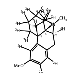 [2H]c1c([2H])c(OC)c([2H])c2c1C[C@]1([2H])N(C)C([2H])([2H])C([2H])([2H])[C@]23C([2H])([2H])C([2H])([2H])C([2H])(C)C([2H])([2H])[C@@]31[2H]